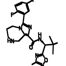 Cc1noc([C@@H](NC(=O)c2nc(-c3cc(F)ccc3F)n3c2CNCCC3)C(C)(C)C)n1